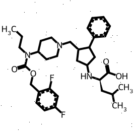 CCCN(C(=O)OCc1ccc(F)cc1F)C1CCN(CC2CC(N[C@H](CC(C)C)C(=O)O)CC2c2ccccc2)CC1